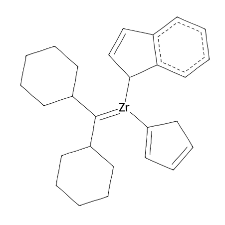 C1=CC[C]([Zr](=[C](C2CCCCC2)C2CCCCC2)[CH]2C=Cc3ccccc32)=C1